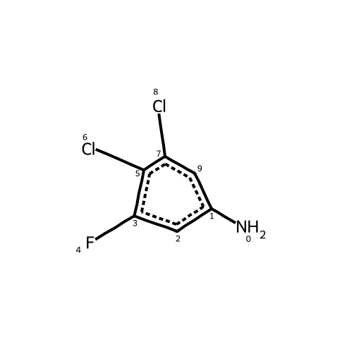 Nc1cc(F)c(Cl)c(Cl)c1